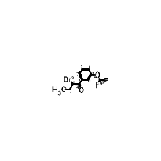 CCC(Br)C(=O)c1cccc(OC(F)F)c1